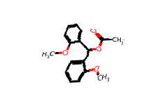 [CH2]C(=O)OC(c1ccccc1OC)c1ccccc1OC